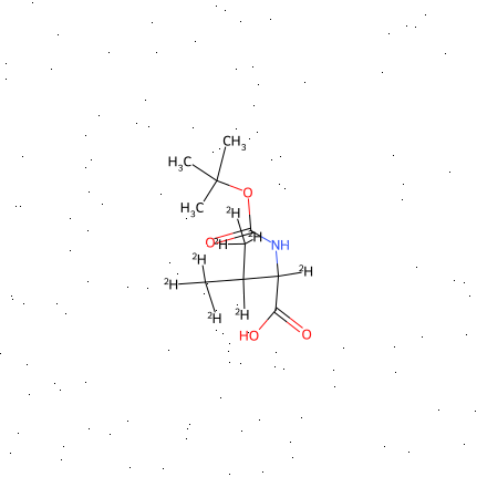 [2H]C([2H])([2H])C([2H])(C([2H])([2H])[2H])C([2H])(NC(=O)OC(C)(C)C)C(=O)O